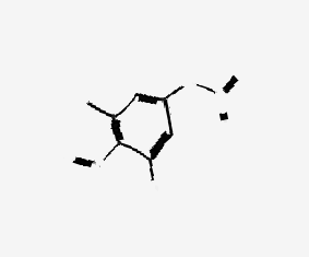 O=Nc1c(Br)cc(O[SH](=O)=O)cc1Br